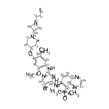 COc1cc(OC2CCN(C3CN(CCF)C3)CC2)c(C)cc1Nc1ncc(Br)c(Nc2ccc3nccnc3c2P(C)(C)=O)n1